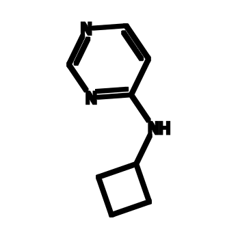 c1cc(NC2CCC2)ncn1